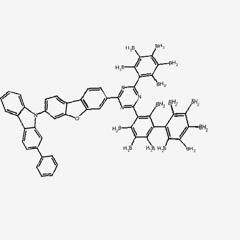 Bc1c(B)c(B)c(-c2nc(-c3ccc4c(c3)oc3cc(-n5c6ccccc6c6ccc(-c7ccccc7)cc65)ccc34)nc(-c3c(B)c(B)c(B)c(-c4c(B)c(B)c(B)c(B)c4B)c3B)n2)c(B)c1B